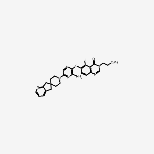 COCCn1cnc2ccc(Sc3ncc(N4CCC5(CC4)Cc4cccnc4C5)nc3N)c(Cl)c2c1=O